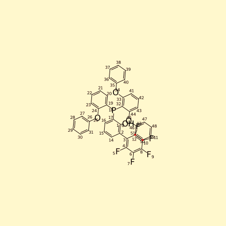 Oc1c(-c2c(F)c(F)c(F)c(F)c2F)cccc1P(c1ccccc1Oc1ccccc1)c1c(Oc2ccccc2)cccc1Oc1ccccc1